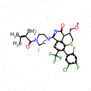 BC(B)=C(B)C(=O)N1[C@H](C)CN(C2=NC(=O)C3c4c2cc(C(F)(F)F)c(-c2cc(Cl)c(F)cc2F)c4SC[C@@H]3COC)C[C@@H]1C